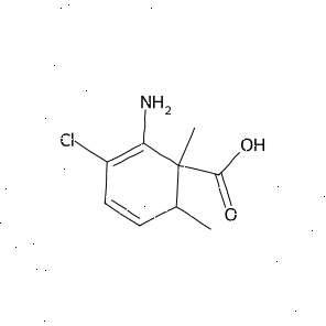 CC1C=CC(Cl)=C(N)C1(C)C(=O)O